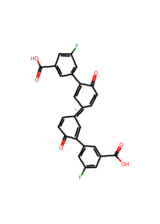 O=C1C=C/C(=C2/C=CC(=O)C(c3cc(F)cc(C(=O)O)c3)=C2)C=C1c1cc(F)cc(C(=O)O)c1